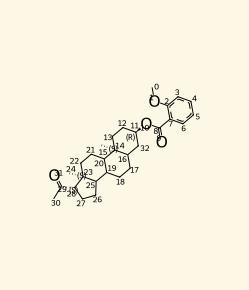 COc1ccccc1C(=O)O[C@@H]1CC[C@@]2(C)C(CCC3C2CC[C@@]2(C)C3CC[C@@H]2C(C)=O)C1